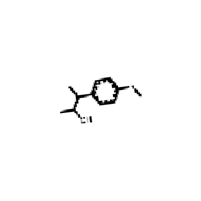 CSc1ccc(C(C)C(C)O)cc1